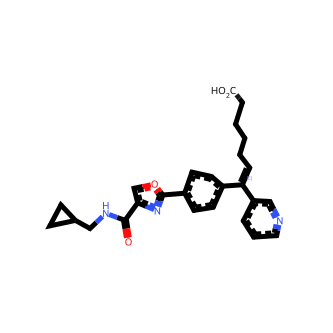 O=C(O)CCCC/C=C(\c1ccc(-c2nc(C(=O)NCC3CC3)co2)cc1)c1cccnc1